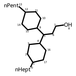 CCCCCCCC1CCC(C(CCO)C2CCC(CCCCC)CC2)CC1